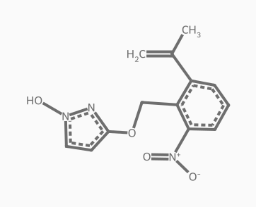 C=C(C)c1cccc([N+](=O)[O-])c1COc1ccn(O)n1